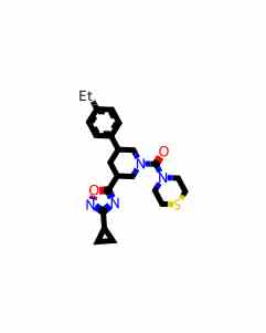 CCc1ccc(C2CC(c3nc(C4CC4)no3)CN(C(=O)N3CCSCC3)C2)cc1